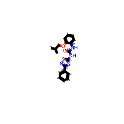 CC(C)COc1ccccc1NC(=O)Nc1nc(-c2ccccc2)ns1